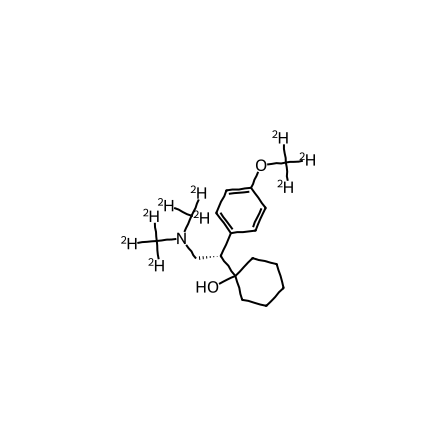 [2H]C([2H])([2H])Oc1ccc([C@@H](CN(C([2H])([2H])[2H])C([2H])([2H])[2H])C2(O)CCCCC2)cc1